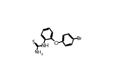 NC(=S)Nc1ccccc1Oc1ccc(Br)cc1